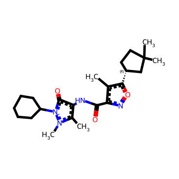 Cc1c(C(=O)Nc2c(C)n(C)n(C3CCCCC3)c2=O)noc1[C@@H]1CCC(C)(C)C1